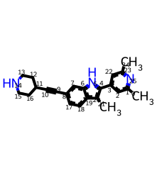 Cc1cc(-c2[nH]c3cc(C#CC4CCNCC4)ccc3c2C)cc(C)n1